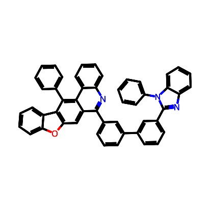 c1ccc(-c2c3c(cc4c(-c5cccc(-c6cccc(-c7nc8ccccc8n7-c7ccccc7)c6)c5)nc5ccccc5c24)oc2ccccc23)cc1